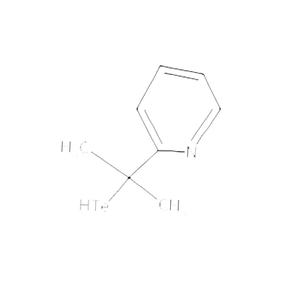 CC(C)([TeH])c1ccccn1